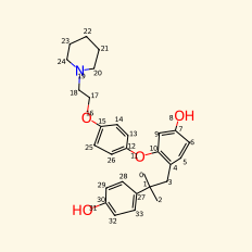 CC(C)(Cc1ccc(O)cc1Oc1ccc(OCCN2CCCCC2)cc1)c1ccc(O)cc1